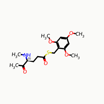 CN[C@@H](CCC(=O)SCc1c(OC)cc(OC)cc1OC)C(C)=O